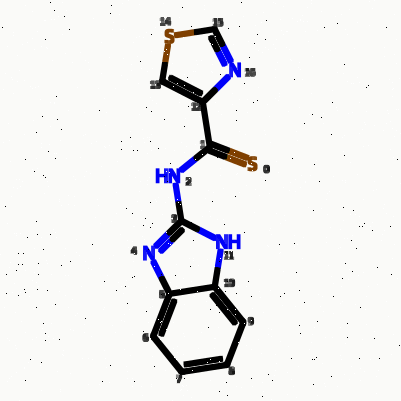 S=C(Nc1nc2ccccc2[nH]1)c1cscn1